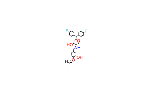 COc1ccc(CNC2COC(C(c3ccc(F)cc3)c3ccc(F)cc3)CC2O)cc1O